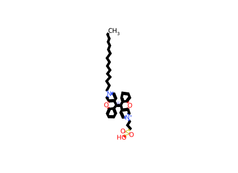 CCCCCCCCCCCCCCCC[n+]1ccc2c(c1)Oc1ccccc1/C2=C1/c2ccccc2Oc2c[n+](CCCS(=O)(=O)O)ccc21